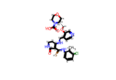 Cc1c(Cl)cccc1NC(=S)C1=C(NCc2ccncc2OC[C@H]2COCCN2C(=O)O)CCNC1=O